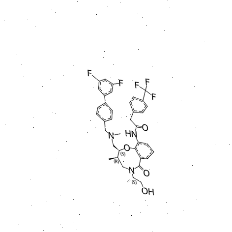 C[C@@H]1CN([C@@H](C)CO)C(=O)c2cccc(NC(=O)Cc3ccc(C(F)(F)F)cc3)c2O[C@@H]1CN(C)Cc1ccc(-c2cc(F)cc(F)c2)cc1